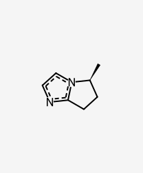 C[C@H]1CCc2nccn21